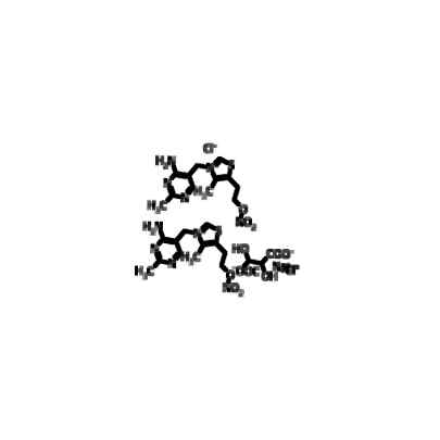 Cc1ncc(C[n+]2csc(CCO[N+](=O)[O-])c2C)c(N)n1.Cc1ncc(C[n+]2csc(CCO[N+](=O)[O-])c2C)c(N)n1.O=C([O-])C(O)C(O)C(=O)[O-].[Cl-].[Cl-].[Na+].[Na+]